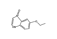 CCOc1ccc2[nH]cc[n+](=O)c2c1